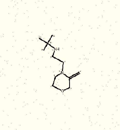 C=C1COCCN1CCNC(C)(C)C